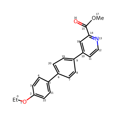 CCOc1ccc(-c2ccc(-c3ccnc(C(=O)OC)c3)cc2)cc1